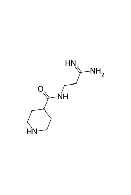 N=C(N)CCNC(=O)C1CCNCC1